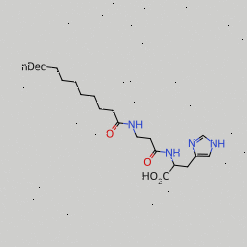 CCCCCCCCCCCCCCCCCC(=O)NCCC(=O)NC(Cc1c[nH]cn1)C(=O)O